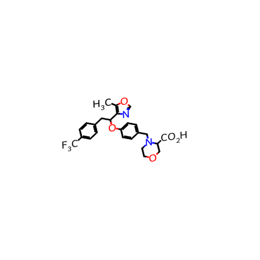 Cc1ocnc1C(Cc1ccc(C(F)(F)F)cc1)Oc1ccc(CN2CCOCC2C(=O)O)cc1